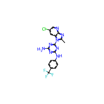 Cc1nc2ncc(Cl)cc2n1-c1nc(N)nc(Nc2ccc(C(F)(F)F)cc2)n1